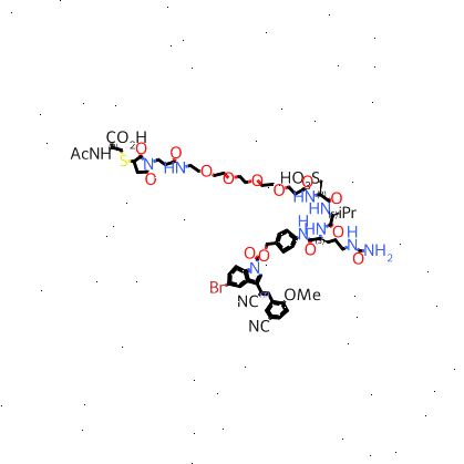 COc1ccc(C#N)cc1/C=C(\C#N)c1cn(C(=O)OCc2ccc(NC(=O)[C@H](CCCNC(N)=O)NC(=O)[C@@H](NC(=O)[C@H](CS(=O)(=O)O)NC(=O)CCOCCOCCOCCOCCNC(=O)CCN3C(=O)CC(SC[C@H](NC(C)=O)C(=O)O)C3=O)C(C)C)cc2)c2ccc(Br)cc12